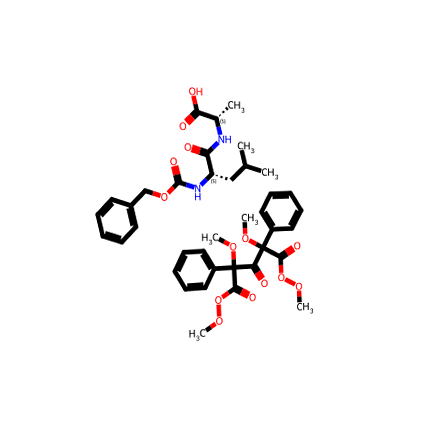 CC(C)C[C@H](NC(=O)OCc1ccccc1)C(=O)N[C@@H](C)C(=O)O.COOC(=O)C(OC)(C(=O)C(OC)(C(=O)OOC)c1ccccc1)c1ccccc1